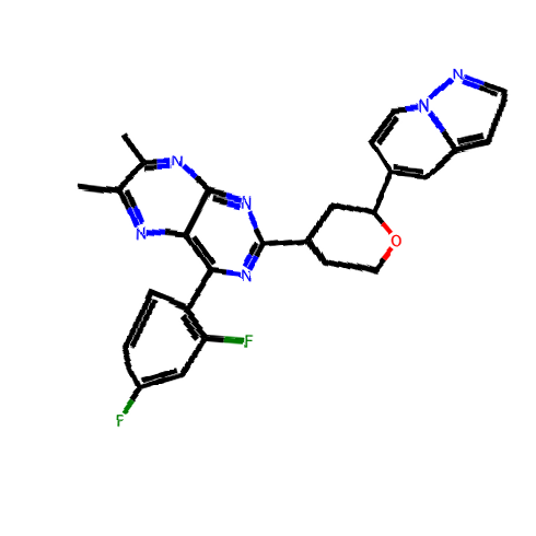 Cc1nc2nc(C3CCOC(c4ccn5nccc5c4)C3)nc(-c3ccc(F)cc3F)c2nc1C